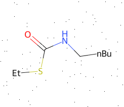 CCCCCNC(=O)SCC